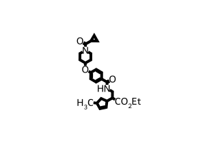 CCOC(=O)C(CNC(=O)c1ccc(OC2CCN(C(=O)C3CC3)CC2)cc1)C1C=CC(C)C1